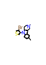 Cc1ccc2c(c1)c1c(n2-c2cscc2Br)CCN(C)C1